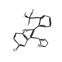 FC(F)(F)c1ccccc1-c1[nH]c2ccc(Cl)cc2c1C1=NCCN1